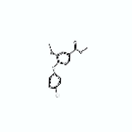 COC(=O)c1ccc(Oc2ccc(Cl)cc2)c(OC)c1